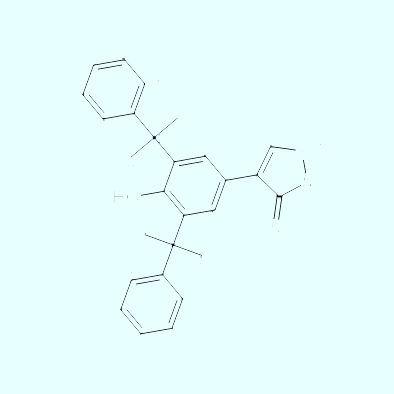 CC(C)(c1ccccc1)c1cc(-c2cssc2=S)cc(C(C)(C)c2ccccc2)c1O